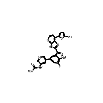 CC(=O)c1ccc(-c2ccnc3[nH]c(-c4n[nH]c5c(F)cc(-c6cncc(NC(=O)C(C)(C)C)c6)cc45)nc23)s1